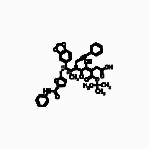 C[C@H]([C@H](Cc1ccc(C(=O)Nc2ccccc2)o1)c1ccc2c(c1)OCO2)N(CC#Cc1ccccc1)C(=O)C(O)=C(CC(=O)O)C(=O)OC(C)(C)C